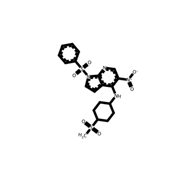 CS(=O)(=O)C1CCC(Nc2c([N+](=O)[O-])cnc3c2ccn3S(=O)(=O)c2ccccc2)CC1